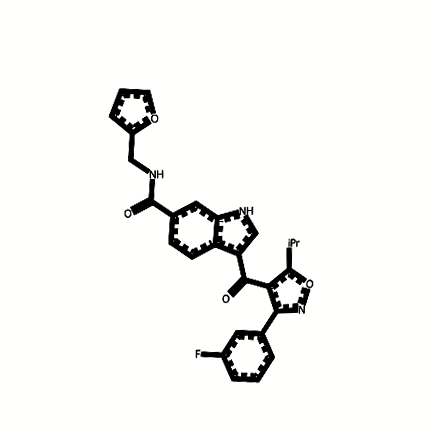 CC(C)c1onc(-c2cccc(F)c2)c1C(=O)c1c[nH]c2cc(C(=O)NCc3ccco3)ccc12